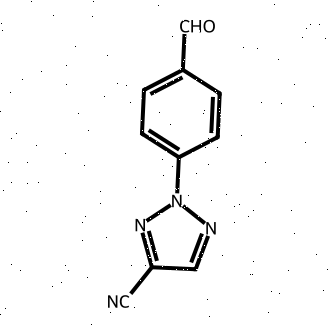 N#Cc1cnn(-c2ccc(C=O)cc2)n1